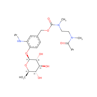 CC(C)Nc1cc(COC(=O)N(C)CCN(C)C(=O)C(C)C)ccc1O[C@@H]1O[C@H](C(=O)O)[C@@H](O)[C@H](O)[C@H]1O